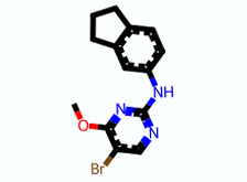 COc1nc(Nc2ccc3c(c2)CCC3)ncc1Br